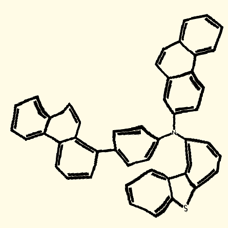 c1ccc2c(c1)ccc1cc(N(c3ccc(-c4cccc5c4ccc4ccccc45)cc3)c3cccc4sc5ccccc5c34)ccc12